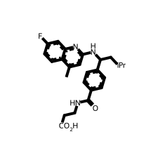 Cc1cc(NC(CC(C)C)c2ccc(C(=O)NCCC(=O)O)cc2)nc2cc(F)ccc12